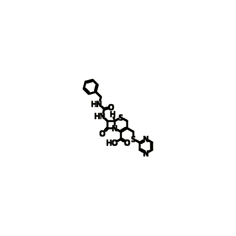 O=C(NCc1ccccc1)NC1C(=O)N2C(C(=O)O)=C(CSc3cnccn3)CS[C@@H]12